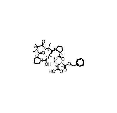 C[C@H](NC(=O)[C@H](C)N(C)C(=O)[C@@H]1CCCN1C(=O)O)C(=O)N1CCC[C@H]1C(=O)OC[C@H](NC(=O)OCc1ccccc1)C(=O)O